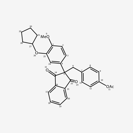 COc1ccc(C2(Cc3ccc(OC(C)=O)cc3)C(=O)c3ccccc3C2=O)cc1OC1CCCC1